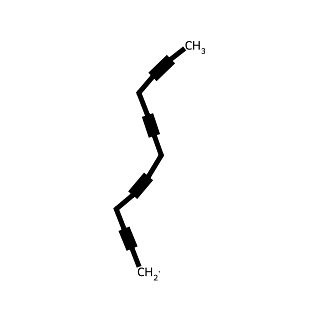 [CH2]C#CCC#CCC#CCC#CC